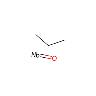 C[CH]C.[O]=[Nb]